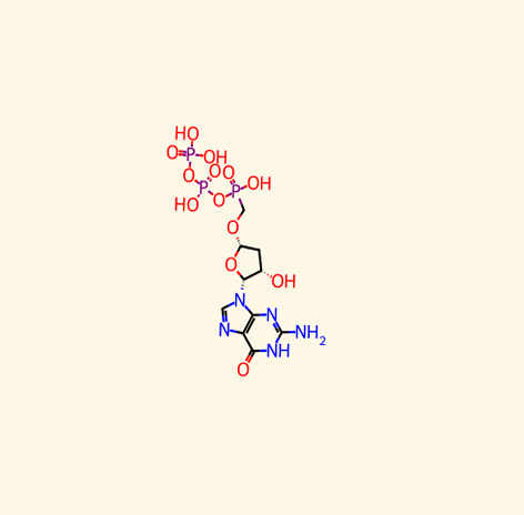 Nc1nc2c(ncn2[C@@H]2O[C@H](OCP(=O)(O)OP(=O)(O)OP(=O)(O)O)C[C@@H]2O)c(=O)[nH]1